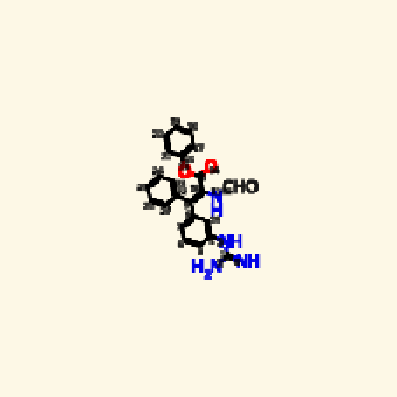 N=C(N)Nc1cccc(C(=C(NC=O)C(=O)Oc2ccccc2)c2ccccc2)c1